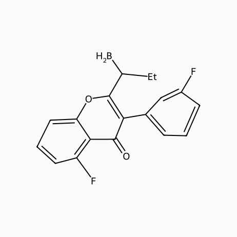 BC(CC)c1oc2cccc(F)c2c(=O)c1-c1cccc(F)c1